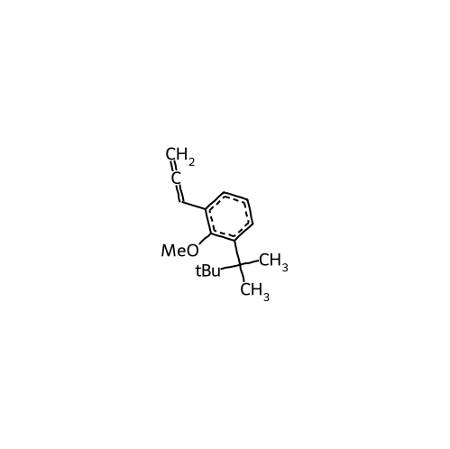 C=C=Cc1cccc(C(C)(C)C(C)(C)C)c1OC